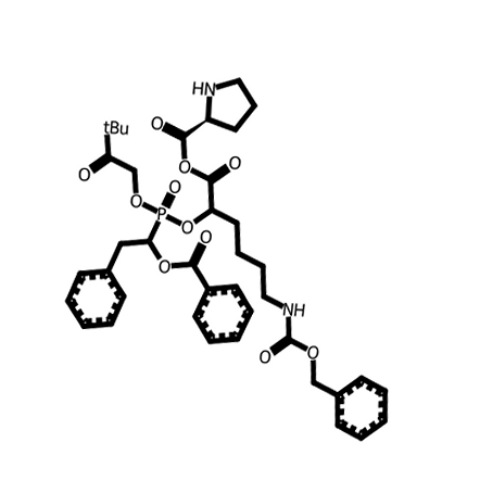 CC(C)(C)C(=O)COP(=O)(OC(CCCCNC(=O)OCc1ccccc1)C(=O)OC(=O)[C@@H]1CCCN1)C(Cc1ccccc1)OC(=O)c1ccccc1